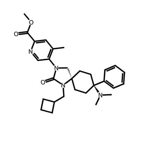 COC(=O)c1cc(C)c(N2C[C@]3(CC[C@](c4ccccc4)(N(C)C)CC3)N(CC3CCC3)C2=O)cn1